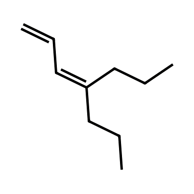 C=CC=C(CCC)CCC